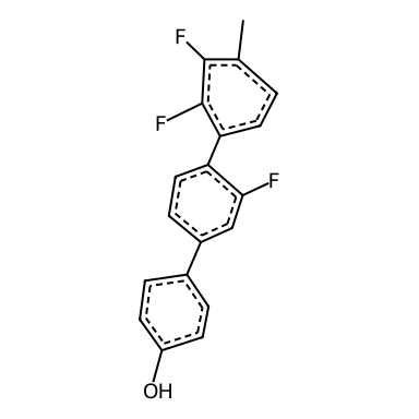 Cc1ccc(-c2ccc(-c3ccc(O)cc3)cc2F)c(F)c1F